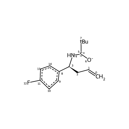 C=CC[C@H](N[S+]([O-])C(C)(C)C)c1ccc(F)cc1